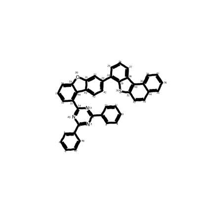 c1ccc(-c2nc(-c3ccccc3)nc(-c3cccc4oc5cc(-c6cccc7c6sc6ccc8ccccc8c67)ccc5c34)n2)cc1